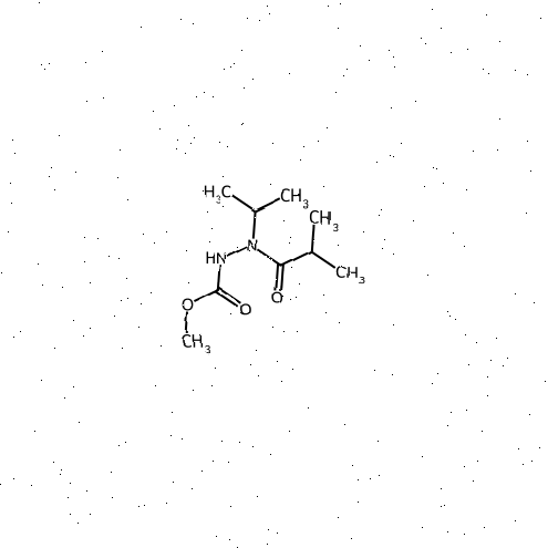 COC(=O)NN(C(=O)C(C)C)C(C)C